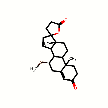 CS[C@@H]1CC2=CC(=O)CCC2(C)C2CCC3(C)C(CCC34CCC(=O)O4)C21